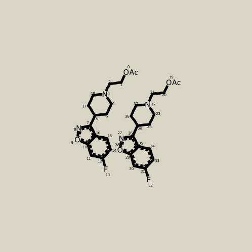 CC(=O)OCCN1CCC(c2noc3cc(F)ccc23)CC1.CC(=O)OCCN1CCC(c2noc3cc(F)ccc23)CC1